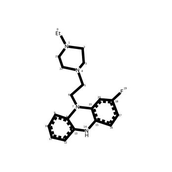 CCN1CCN(CCN2c3ccccc3Nc3ccc(F)cc32)CC1